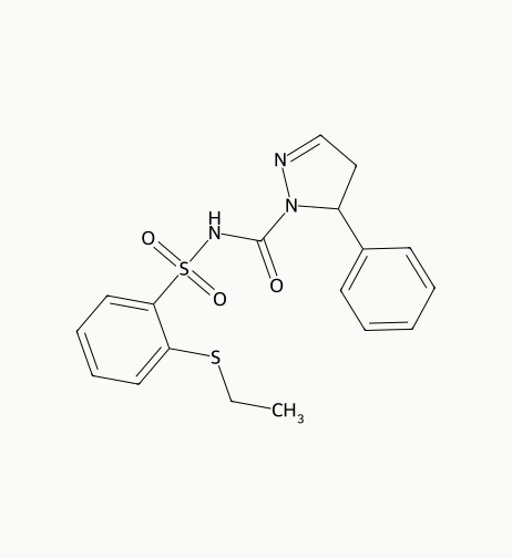 CCSc1ccccc1S(=O)(=O)NC(=O)N1N=CCC1c1ccccc1